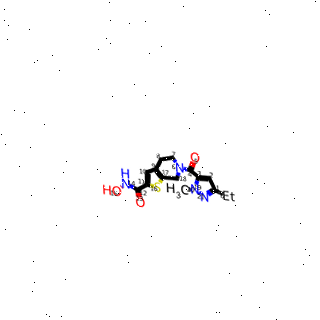 CCc1cc(C(=O)N2CCc3cc(C(=O)NO)sc3C2)n(C)n1